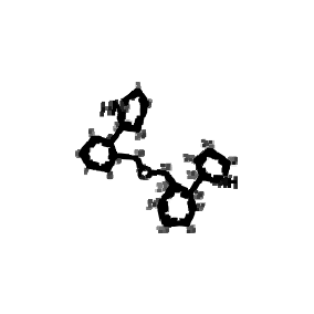 c1c[nH]c(-c2ccccc2COCc2ccccc2-c2ccc[nH]2)c1